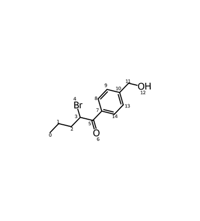 CCCC(Br)C(=O)c1ccc(CO)cc1